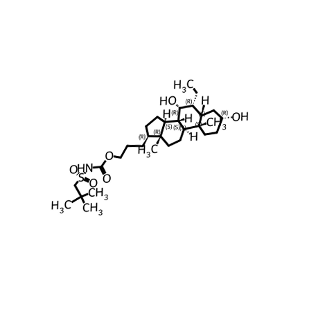 CC[C@H]1[C@@H](O)[C@@H]2[C@H](CC[C@]3(C)[C@@H](CCCOC(=O)NS(=O)(=O)CC(C)(C)C)CC[C@@H]23)[C@@]2(C)CC[C@@H](O)C[C@@H]12